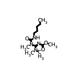 CCCCCNC(=O)N(C)C(=NC(=O)OC)N(C)C